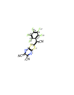 N#CC(=C1Sc2nc(C#N)c(C#N)nc2S1)c1c(F)c(F)c(F)c(F)c1F